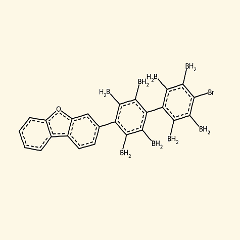 Bc1c(B)c(-c2c(B)c(B)c(-c3ccc4c(c3)oc3ccccc34)c(B)c2B)c(B)c(B)c1Br